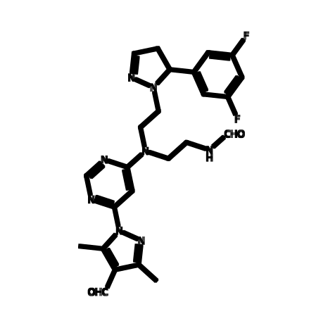 Cc1nn(-c2cc(N(CCNC=O)CCN3N=CCC3c3cc(F)cc(F)c3)ncn2)c(C)c1C=O